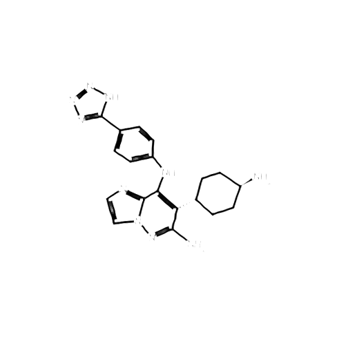 Nc1nn2ccnc2c(Nc2ccc(-c3nnn[nH]3)cc2)c1[C@H]1CC[C@H](N)CC1